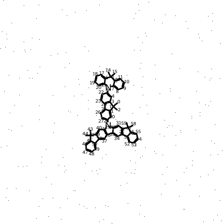 CC1(C)c2cc(N3c4ccccc4C(C)(C)c4ccccc43)ccc2-c2ccc(-n3c4cc5c(cc4c4cc6c(cc43)C(C)(C)c3ccccc3-6)-c3ccccc3C5(C)C)cc21